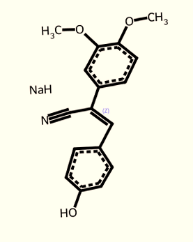 COc1ccc(/C(C#N)=C/c2ccc(O)cc2)cc1OC.[NaH]